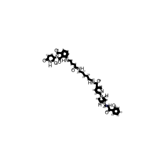 O=C(CCCNc1cccc2c1C(=O)N(C1CCC(=O)NC1=O)C2=O)NCCCCCCNC(=O)c1ccc(N2C[C@H]3C[C@@H]2CN3/C=C/C(=O)c2ccccc2O)nc1